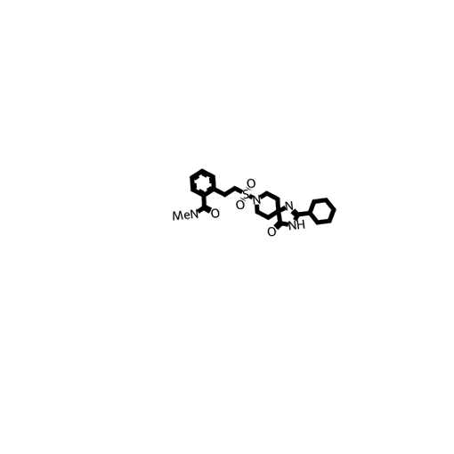 CNC(=O)c1ccccc1CCS(=O)(=O)N1CCC2(CC1)N=C(C1CCCCC1)NC2=O